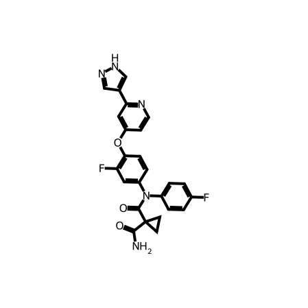 NC(=O)C1(C(=O)N(c2ccc(F)cc2)c2ccc(Oc3ccnc(-c4cn[nH]c4)c3)c(F)c2)CC1